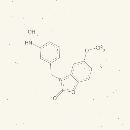 COc1ccc2oc(=O)n(Cc3cccc(NO)c3)c2c1